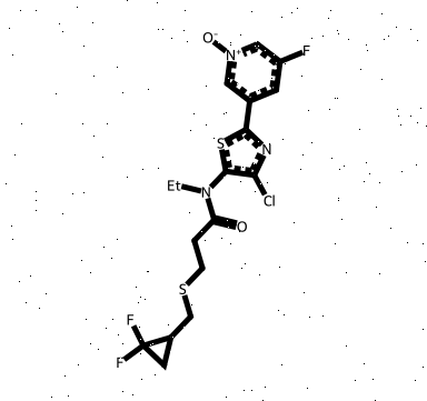 CCN(C(=O)CCSCC1CC1(F)F)c1sc(-c2cc(F)c[n+]([O-])c2)nc1Cl